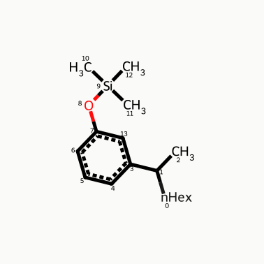 CCCCCCC(C)c1cccc(O[Si](C)(C)C)c1